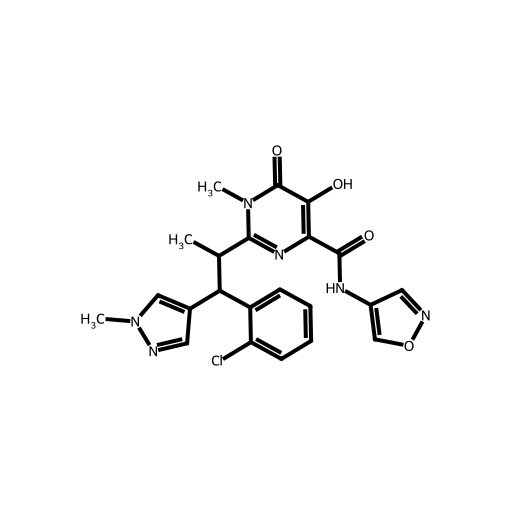 CC(c1nc(C(=O)Nc2cnoc2)c(O)c(=O)n1C)C(c1cnn(C)c1)c1ccccc1Cl